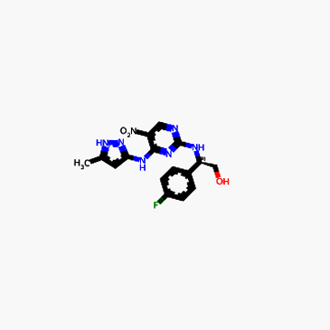 Cc1cc(Nc2nc(N[C@@H](CO)c3ccc(F)cc3)ncc2[N+](=O)[O-])n[nH]1